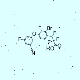 N#Cc1cc(F)cc(Oc2ccc(C(F)C(F)(F)C(=O)O)c(Br)c2F)c1